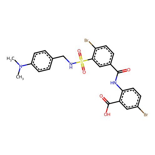 CN(C)c1ccc(CNS(=O)(=O)c2cc(C(=O)Nc3ccc(Br)cc3C(=O)O)ccc2Br)cc1